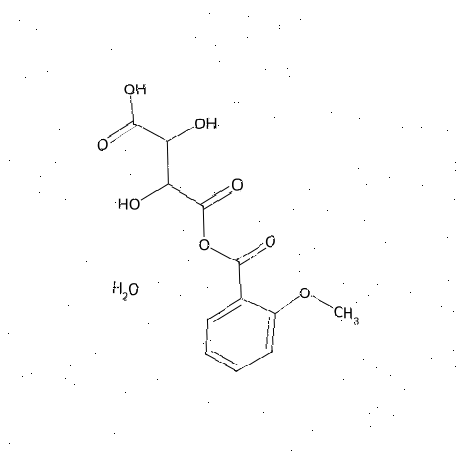 COc1ccccc1C(=O)OC(=O)C(O)C(O)C(=O)O.O